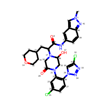 Cn1cc2cc(NC(=O)C(CC3CCOCC3)N3CC(=O)N(c4cc(Cl)ccc4-n4cc(Cl)nn4)CC3O)ccc2n1